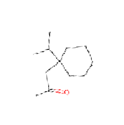 CC(=O)CC1(C(C)C)CCCCC1